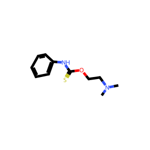 CN(C)CCOC(=S)Nc1ccccc1